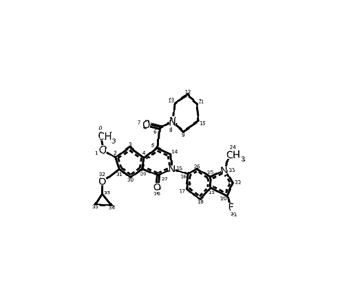 COc1cc2c(C(=O)N3CCCCC3)cn(-c3ccc4c(F)cn(C)c4c3)c(=O)c2cc1OC1CC1